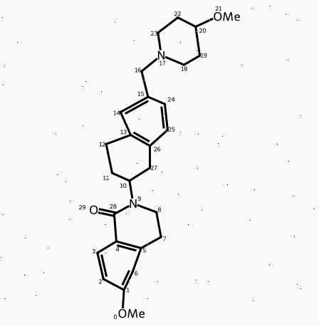 COc1ccc2c(c1)CCN(C1CCc3cc(CN4CCC(OC)CC4)ccc3C1)C2=O